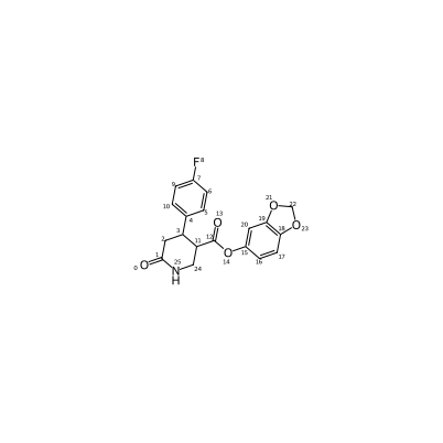 O=C1CC(c2ccc(F)cc2)C(C(=O)Oc2ccc3c(c2)OCO3)CN1